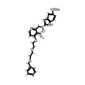 COc1ccc2[nH]c([S+]([O-])Cc3nccc(OCCOCCOCc4ccccc4)c3C)nc2c1